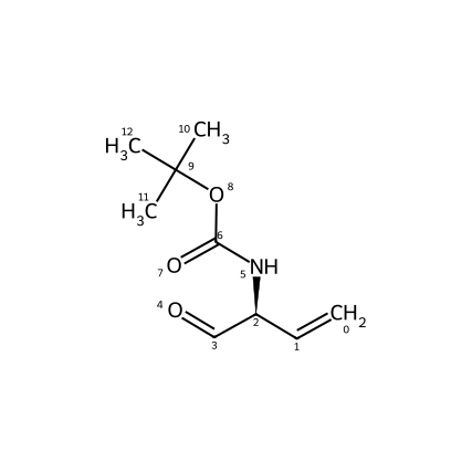 C=C[C@@H](C=O)NC(=O)OC(C)(C)C